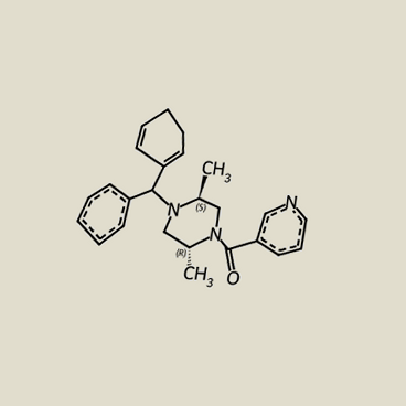 C[C@@H]1CN(C(C2=CCCC=C2)c2ccccc2)[C@@H](C)CN1C(=O)c1cccnc1